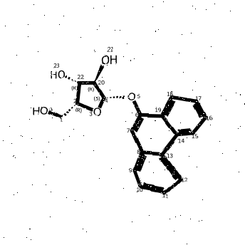 OC[C@H]1O[C@@H](Oc2cc3ccccc3c3ccccc23)[C@H](O)[C@H]1O